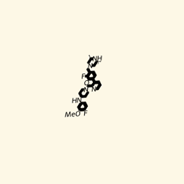 COc1cc(NC2CCN(C(=O)c3ncccc3-c3ccc(CN4C[C@@H](C)N[C@@H](C)C4)c(F)c3)CC2)ccc1F